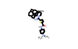 CNC1CC2CC3CCC4CC5/C(=C6/C=CC=CN6C(=N)c6ccc(C(=O)Nc7ccc(N(C)C)cc7)s6)C4(C)C32C(C)C15